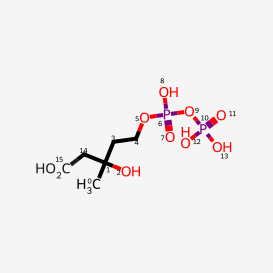 CC(O)(CCOP(=O)(O)OP(=O)(O)O)CC(=O)O